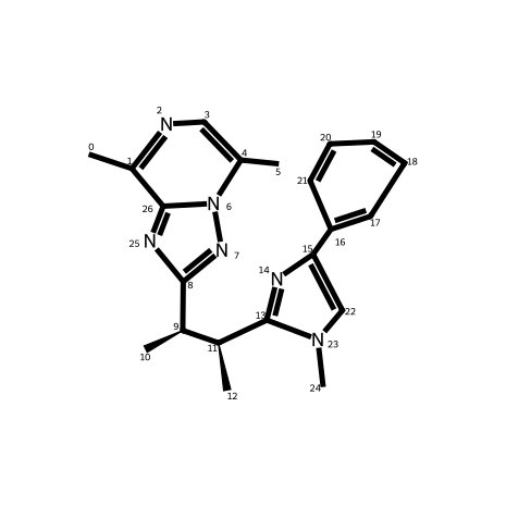 Cc1ncc(C)n2nc([C@H](C)[C@H](C)c3nc(-c4ccccc4)cn3C)nc12